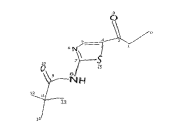 CCC(=O)c1cnc(NC(=O)C(C)(C)C)s1